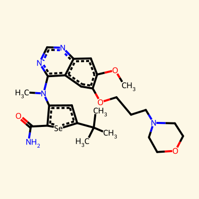 COc1cc2ncnc(N(C)c3cc(C(C)(C)C)[se]c3C(N)=O)c2cc1OCCCN1CCOCC1